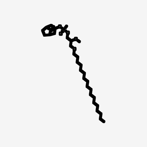 CCCCCCCCCCCCCCCCCCOCC(COP(C)(=O)OC1CC2CCC(C1)[N+]2(C)C)OC